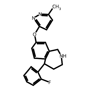 Cc1ccc(Oc2ccc3c(c2)CNCCC3c2ccccc2F)nn1